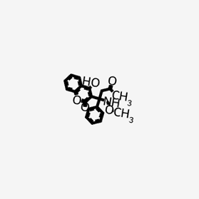 CONC(CC(C)=O)(c1ccccc1)c1c(O)c2ccccc2oc1=O